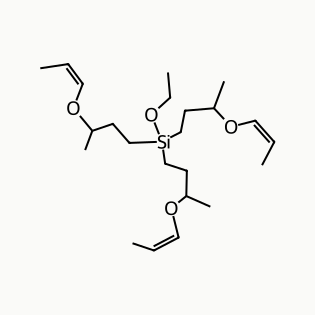 C/C=C\OC(C)CC[Si](CCC(C)O/C=C\C)(CCC(C)O/C=C\C)OCC